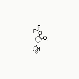 COc1cc(C2=NO[C]C2)ccc1OC(F)F